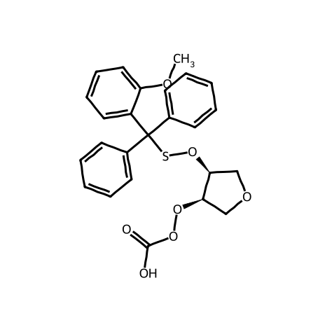 COc1ccccc1C(SO[C@H]1COC[C@H]1OOC(=O)O)(c1ccccc1)c1ccccc1